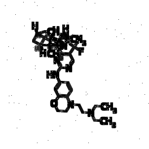 CCN(CC)CCN1CCOc2cc(Nc3ncc(C(F)(F)F)c(N[C@@]4(C)[C@@H](C(=O)NC)C[C@H]5C[C@@H]4C5(C)C)n3)ccc21